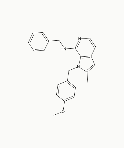 COc1ccc(Cn2c(C)cc3ccnc(NCc4ccccc4)c32)cc1